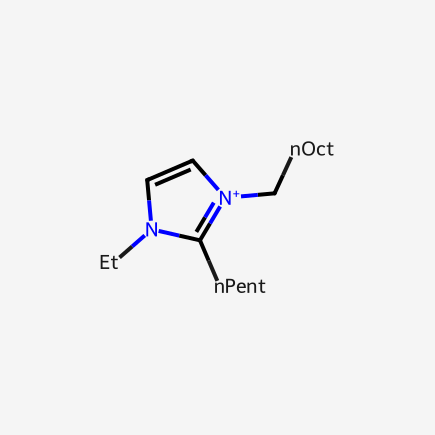 CCCCCCCCC[n+]1ccn(CC)c1CCCCC